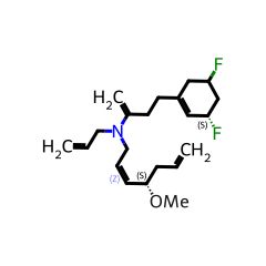 C=CC[C@@H](/C=C\CN(CC=C)C(=C)CCC1=C[C@@H](F)CC(F)C1)OC